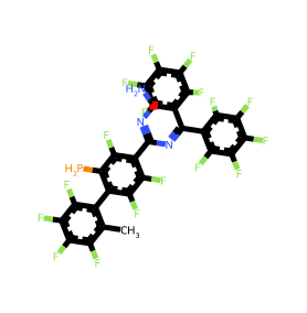 Cc1c(F)c(F)c(F)c(F)c1-c1c(F)c(F)c(/C(N=C(c2c(F)c(F)c(F)c(F)c2F)c2c(F)c(F)c(F)c(F)c2F)=N/CN)c(F)c1P